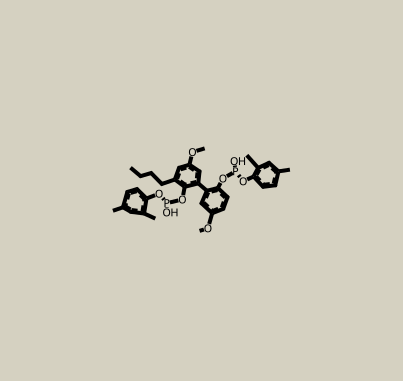 CCCCc1cc(OC)cc(-c2cc(OC)ccc2OP(O)Oc2ccc(C)cc2C)c1OP(O)Oc1ccc(C)cc1C